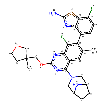 N#CC1(COc2nc(N3CC4CCC(C3)N4)c3cc(C(F)(F)F)c(-c4ccc(F)c5sc(N)nc45)c(F)c3n2)CCOC1